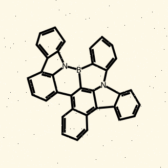 c1ccc2c(c1)B1c3c(c4ccccc4c4c5ccccc5n-2c34)-c2cccc3c4ccccc4n1c23